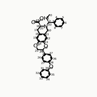 CC[C@@H](c1ccccc1)N1Cc2cc3c(cc2C[C@H]1C(=O)O)OC[C@H](c1ccc(Oc2ccccc2)cc1)O3